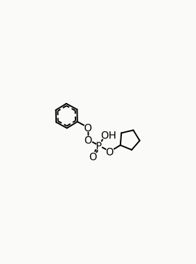 O=P(O)(OOc1ccccc1)OC1CCCC1